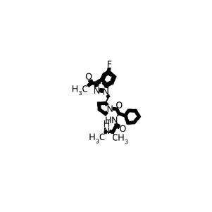 CN[C@@H](C)C(=O)N[C@H](C(=O)N1CCC[C@H]1Cn1nc(C(C)=O)c2cc(F)ccc21)C1CCCCC1